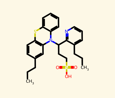 CCCc1ccc2c(c1)N(C(CCS(=O)(=O)O)c1ncccc1CCC)c1ccccc1S2